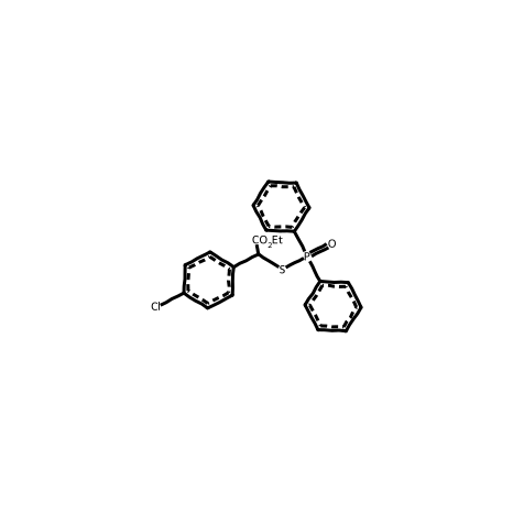 CCOC(=O)C(SP(=O)(c1ccccc1)c1ccccc1)c1ccc(Cl)cc1